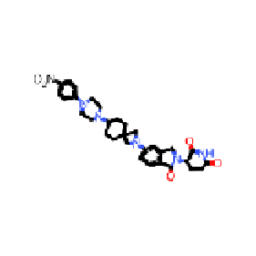 O=C1CCC(N2Cc3cc(N4CC5(CCC(N6CCN(c7ccc([N+](=O)[O-])cc7)CC6)CC5)C4)ccc3C2=O)C(=O)N1